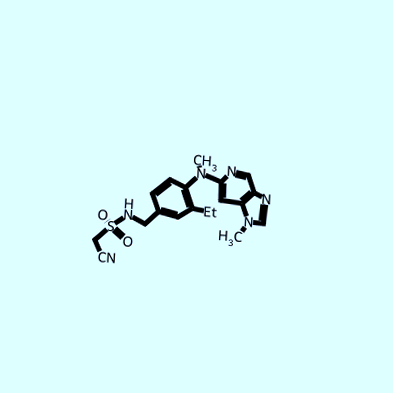 CCc1cc(CNS(=O)(=O)CC#N)ccc1N(C)c1cc2c(cn1)ncn2C